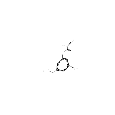 CCCCNC(=O)Oc1cc(N)cc(CC(=O)O)c1